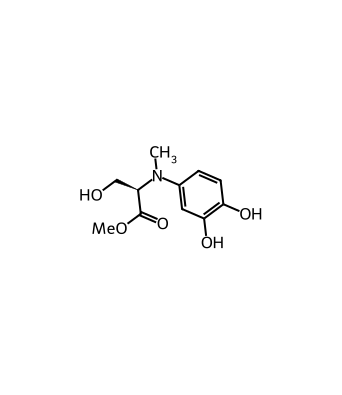 COC(=O)[C@@H](CO)N(C)c1ccc(O)c(O)c1